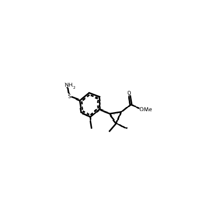 COC(=O)C1C(c2ccc(SN)cc2C)C1(C)C